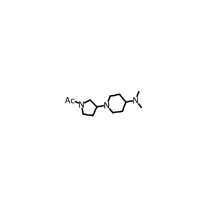 CC(=O)N1CCC(N2CCC(N(C)C)CC2)C1